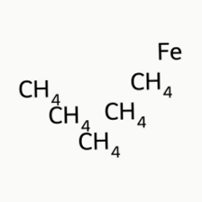 C.C.C.C.C.[Fe]